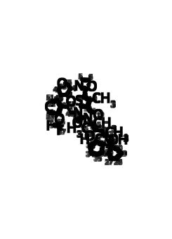 Cc1c(-c2ncco2)sc2c1c(=O)n(C(C)(C)C(=O)CC(C)(C)[Si](O)(c1ccccc1)c1ccccc1)c(=O)n2C[C@H](OC1CCOCC1)c1ccccc1OC(F)F